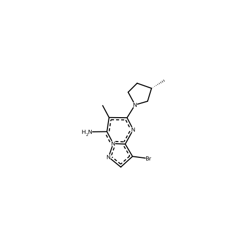 Cc1c(N2CC[C@H](C)C2)nc2c(Br)cnn2c1N